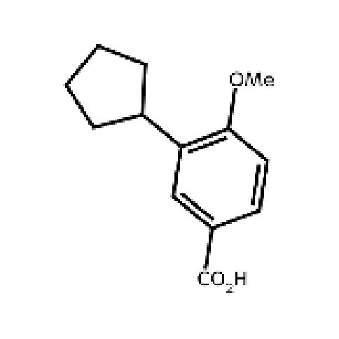 COc1ccc(C(=O)O)cc1C1CCCC1